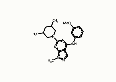 COc1cccc(Nc2nc(N3CC(C)CC(C)C3)nc3c2cnn3C)c1